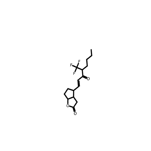 CCCCC(C(=O)/C=C/C1CCC2OC(=O)CC12)C(F)(F)F